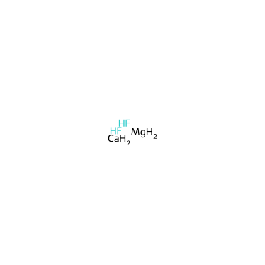 F.F.[CaH2].[MgH2]